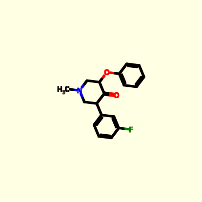 CN1CC(Oc2ccccc2)C(=O)C(c2cccc(F)c2)C1